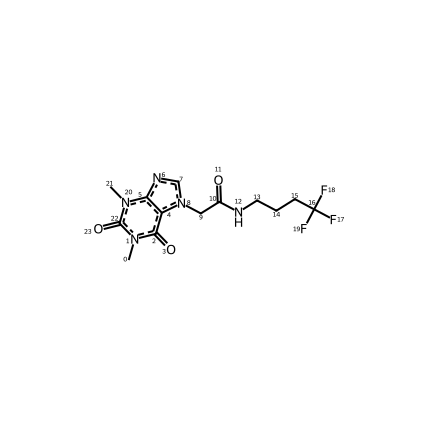 Cn1c(=O)c2c(ncn2CC(=O)NCCCC(F)(F)F)n(C)c1=O